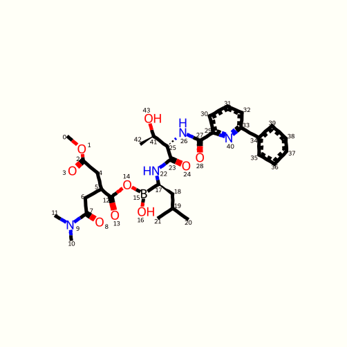 COC(=O)CC(CC(=O)N(C)C)C(=O)OB(O)[C@H](CC(C)C)NC(=O)[C@@H](NC(=O)c1cccc(-c2ccccc2)n1)[C@@H](C)O